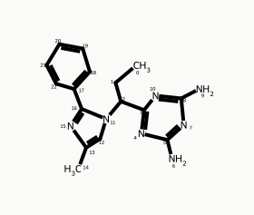 CCC(c1nc(N)nc(N)n1)n1cc(C)nc1-c1ccccc1